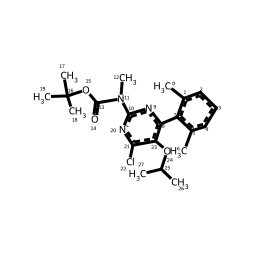 Cc1cccc(C)c1-c1nc(N(C)C(=O)OC(C)(C)C)nc(Cl)c1OC(C)C